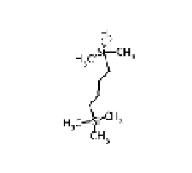 C[Si](C)(C)CCCC[Si](C)(C)C